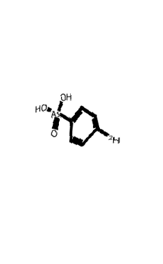 [2H]c1ccc([As](=O)(O)O)cc1